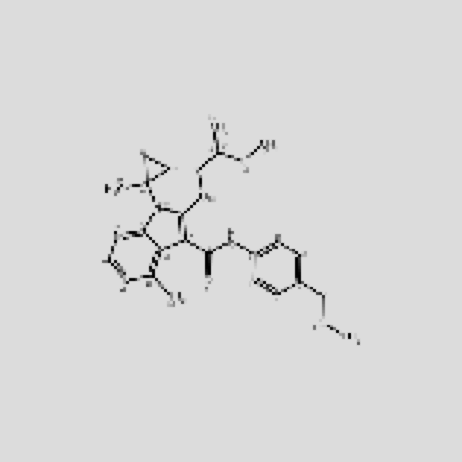 COCc1ccc(NC(=O)c2c(OC[C@@H](C)OC)n(C3(C)CC3)c3ncnc(N)c23)cc1